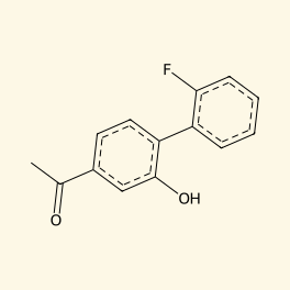 CC(=O)c1ccc(-c2ccccc2F)c(O)c1